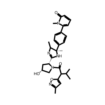 Cc1cc(C(C(=O)N2C[C@H](O)C[C@@H]2C2=NC(C)[C@@](C)(c3ccc(-c4cccc(=O)n4C)cc3)N2)C(C)C)on1